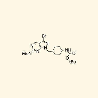 CNc1ncc2c(Br)nn(CC3CCC(NC(=O)OC(C)(C)C)CC3)c2n1